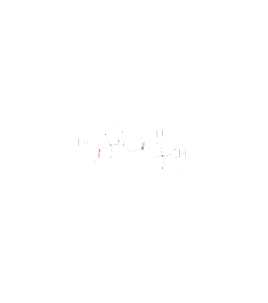 CC(C)(C)OC(=O)CN1CCCC1(C)C(=O)O